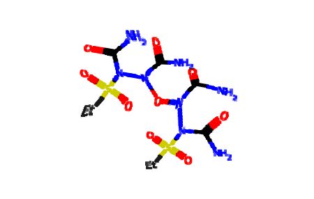 CCS(=O)(=O)N(C(N)=O)N(ON(C(N)=O)N(C(N)=O)S(=O)(=O)CC)C(N)=O